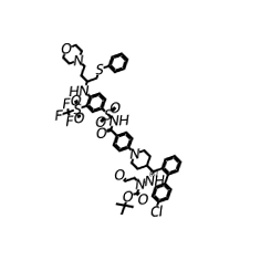 CC(C)(C)OC(=O)N(CC=O)N[C@@H](c1ccccc1-c1ccc(Cl)cc1)C1CCN(c2ccc(C(=O)NS(=O)(=O)c3ccc(NC(CCN4CCOCC4)CSc4ccccc4)c(S(=O)(=O)C(F)(F)F)c3)cc2)CC1